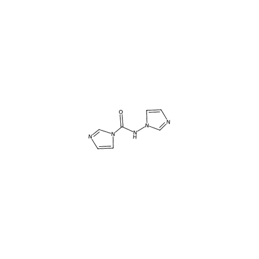 O=C(Nn1ccnc1)n1ccnc1